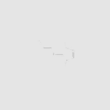 Cc1cnn(C)c1NCCN